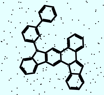 c1ccc(-c2cccc(-n3c4ccccc4c4cc5c(cc43)c3ccccc3c3cc4ccccc4n35)n2)cc1